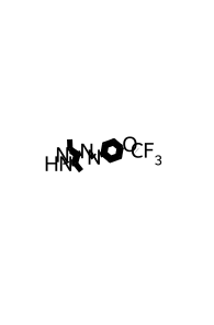 Cc1n[nH]c(C)c1N=Nc1ccc(OC(F)(F)F)cc1